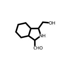 O=CC1NC(CO)C2CCCCC12